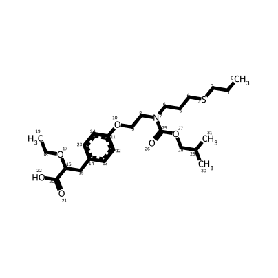 CCCSCCCN(CCOc1ccc(CC(OCC)C(=O)O)cc1)C(=O)OCC(C)C